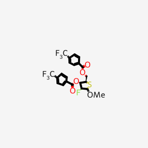 COC1S[C@H](COC(=O)c2ccc(C(F)(F)F)cc2)[C@@H](OC(=O)c2ccc(C(F)(F)F)cc2)[C@@H]1F